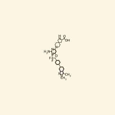 Cc1c2ccc(-c3ccc([C@@H](Oc4cc(N5CCC6(CC5)CNC(C(=O)O)C6)nc(N)n4)C(F)(F)F)cc3)cc2nn1C